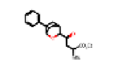 [CH2]CCCC(CC(=O)[C]1OC2CCC1CC2c1ccccc1)C(=O)OCC